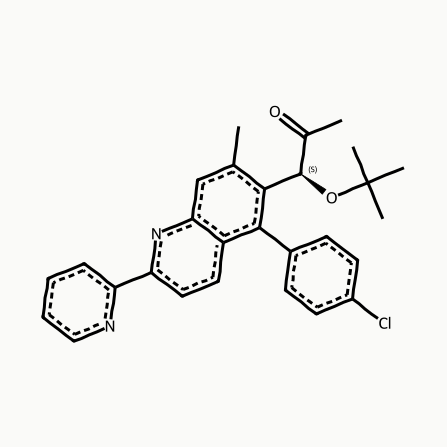 CC(=O)[C@@H](OC(C)(C)C)c1c(C)cc2nc(-c3ccccn3)ccc2c1-c1ccc(Cl)cc1